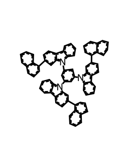 c1ccc2c(-c3ccc4c5ccccc5n(-c5cc(-n6c7ccccc7c7ccc(-c8cccc9ccccc89)cc76)cc(-n6c7ccccc7c7ccc(-c8cccc9ccccc89)cc76)c5)c4c3)cccc2c1